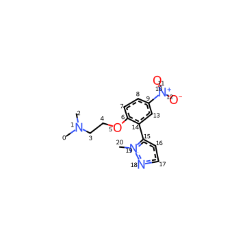 CN(C)CCOc1ccc([N+](=O)[O-])cc1-c1ccnn1C